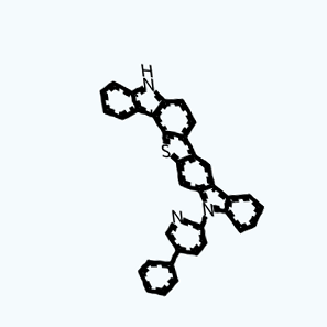 c1ccc(-c2ccc(-n3c4ccccc4c4cc5c(cc43)sc3c5ccc4[nH]c5ccccc5c43)nc2)cc1